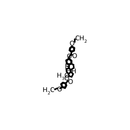 C=CCOc1ccc(C(=O)Oc2ccc3c(c2)CC[C@@H]2[C@@H]3CC[C@]3(C)[C@@H](OC(=O)c4ccc(OCC=C)cc4)CC[C@@H]23)cc1